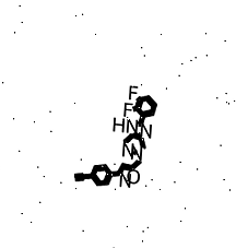 C#Cc1ccc(-c2cc(CN3Cc4nc(-c5cccc(F)c5F)[nH]c4C=N3)on2)cc1